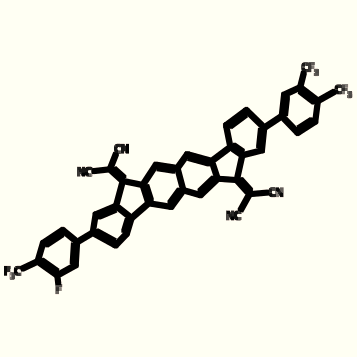 N#CC(C#N)=C1c2cc(-c3ccc(C(F)(F)F)c(F)c3)ccc2-c2cc3cc4c(cc3cc21)-c1ccc(-c2ccc(C(F)(F)F)c(C(F)(F)F)c2)cc1C4=C(C#N)C#N